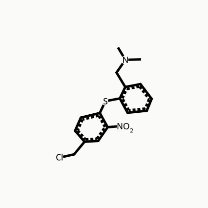 CN(C)Cc1ccccc1Sc1ccc(CCl)cc1[N+](=O)[O-]